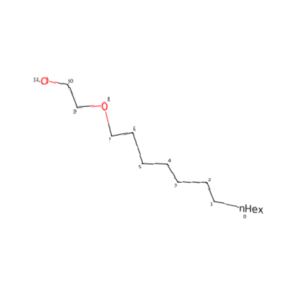 CCCCCCCCCCCCCOCC[O]